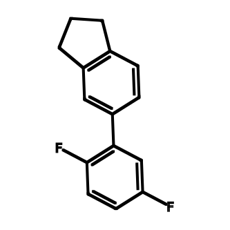 Fc1ccc(F)c(-c2ccc3c(c2)CCC3)c1